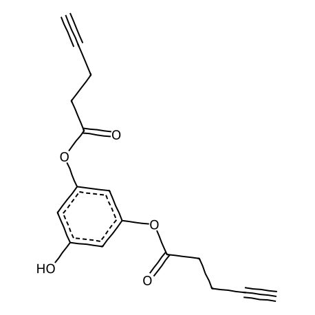 C#CCCC(=O)Oc1cc(O)cc(OC(=O)CCC#C)c1